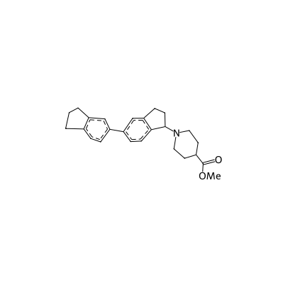 COC(=O)C1CCN(C2CCc3cc(-c4ccc5c(c4)CCC5)ccc32)CC1